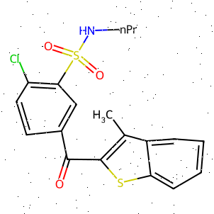 CCCNS(=O)(=O)c1cc(C(=O)c2sc3ccccc3c2C)ccc1Cl